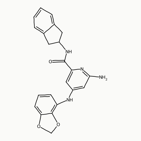 Nc1cc(Nc2cccc3c2OCO3)cc(C(=O)NC2Cc3ccccc3C2)n1